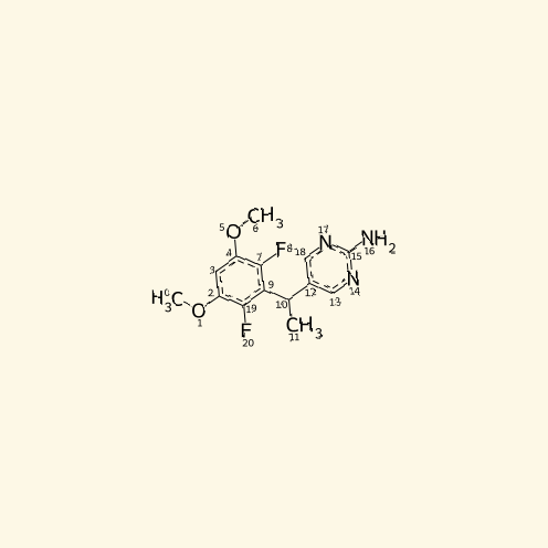 COc1cc(OC)c(F)c(C(C)c2cnc(N)nc2)c1F